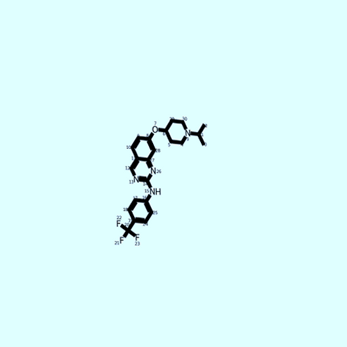 CC(C)N1CCC(Oc2ccc3cnc(Nc4ccc(C(F)(F)F)cc4)nc3c2)CC1